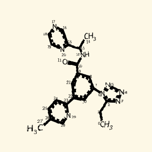 CCc1nnnn1-c1cc(C(=O)NC(C)c2cnccn2)cc(-c2ccc(C)cn2)c1